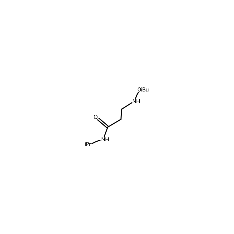 CC(C)CONCCC(=O)NC(C)C